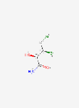 NC(=O)[C@@H](O)[C@H](Br)CBr